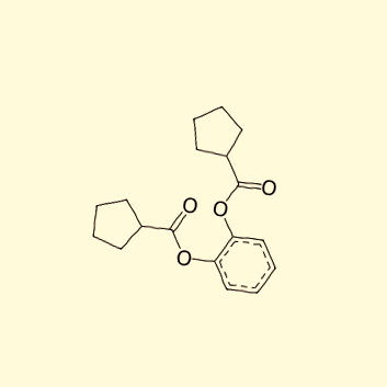 O=C(Oc1ccccc1OC(=O)C1CCCC1)C1CCCC1